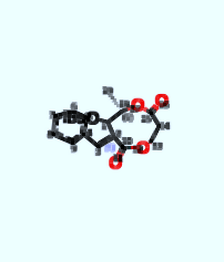 CC(C)COC1/C(=C\c2ccccc2)C(=O)OCCC(=O)O[C@H]1C